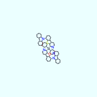 c1ccc([Si](c2ccccc2)(c2nccc3c2oc2c(-n4c5ccccc5c5cccnc54)cccc23)c2nccc3c2sc2c(-n4c5ccccc5c5ccccc54)cccc23)cc1